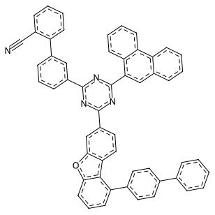 N#Cc1ccccc1-c1cccc(-c2nc(-c3ccc4c(c3)oc3cccc(-c5ccc(-c6ccccc6)cc5)c34)nc(-c3cc4ccccc4c4ccccc34)n2)c1